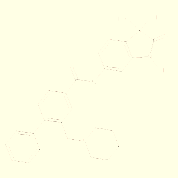 CN1C(=O)C(C)(C)c2ccc(NC(=O)c3ccc(-c4ccccc4)c(CN4CCCCC4)c3)cc21